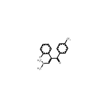 CN(C)/C=C(/C(=O)c1ccc(C(F)(F)F)cc1)c1ccccc1Cl